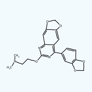 CN(C)CCOc1nc(-c2ccc3c(c2)OCO3)c2cc3c(cc2n1)OCO3